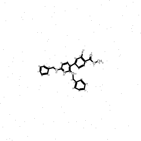 COC(=O)c1ccc(-c2ccc(OCc3ccccc3)nc2OCc2ccccc2)cc1F